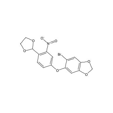 O=[N+]([O-])c1cc(Oc2cc3c(cc2Br)OCO3)ccc1C1OCCO1